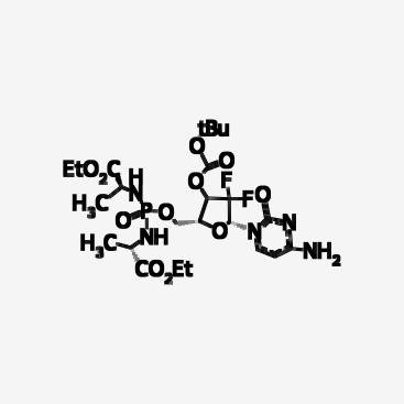 CCOC(=O)[C@H](C)NP(=O)(N[C@@H](C)C(=O)OCC)OC[C@H]1O[C@@H](n2ccc(N)nc2=O)C(F)(F)C1OC(=O)OC(C)(C)C